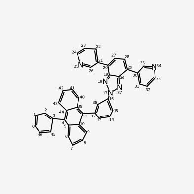 c1ccc(-c2c3ccccc3c(-c3cccc(-n4nc5c(-c6cccnc6)ccc(-c6cccnc6)c5n4)c3)c3ccccc23)cc1